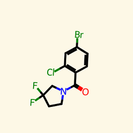 O=C(c1ccc(Br)cc1Cl)N1CCC(F)(F)C1